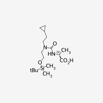 C[C@H](NC(=O)N(CCO[Si](C)(C)C(C)(C)C)CCC1CC1)C(=O)O